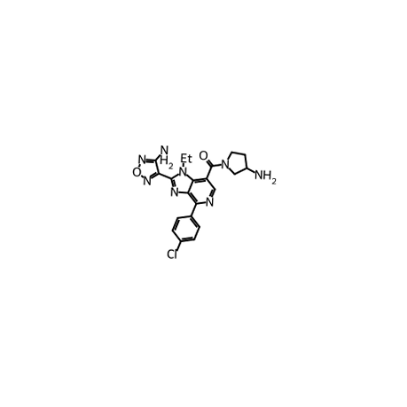 CCn1c(-c2nonc2N)nc2c(-c3ccc(Cl)cc3)ncc(C(=O)N3CCC(N)C3)c21